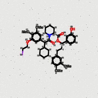 COc1ccc(CC[C@H](OC(=O)[C@H]2CCCCN2C(=O)[C@H](c2cc(OC)c(OC)c(OCCI)c2)C2CCCCC2)c2cccc(O)c2)cc1OC